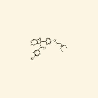 CCN(CC)CCOc1ccc(-c2oc3ccccc3c2C(=O)c2ccc(Cl)cc2)cc1